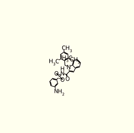 Cc1cc(C)c(Cn2c(C(=O)NS(=O)(=O)c3cccc(N)c3)cc3cccc(C)c32)c(C)c1